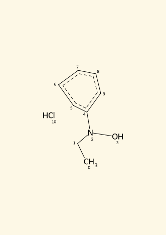 CCN(O)c1ccccc1.Cl